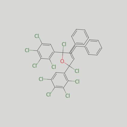 Clc1cc(C(Cl)(C=Cc2ccccc2)OC(Cl)(C=Cc2ccccc2)c2cc(Cl)c(Cl)c(Cl)c2Cl)c(Cl)c(Cl)c1Cl